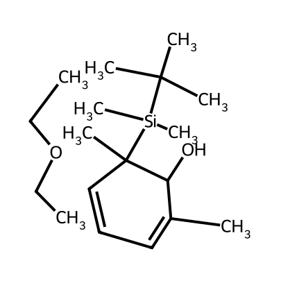 CC1=CC=CC(C)([Si](C)(C)C(C)(C)C)C1O.CCOCC